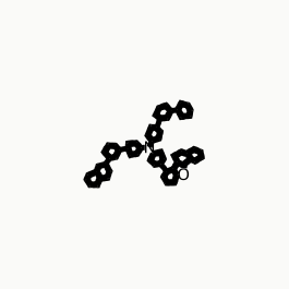 c1ccc(-c2cccc(-c3ccc(N(c4ccc(-c5cccc(-c6ccc7ccccc7c6)c5)cc4)c4ccc(-c5cccc6oc7c8ccccc8ccc7c56)cc4)cc3)c2)cc1